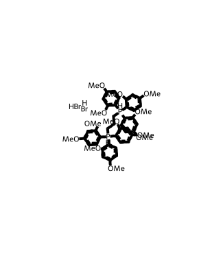 Br.Br.COc1ccc([PH](CCC[PH](c2ccc(OC)cc2OC)(c2ccc(OC)cc2OC)c2ccc(OC)cc2OC)(c2ccc(OC)cc2OC)c2ccc(OC)cc2OC)c(OC)c1